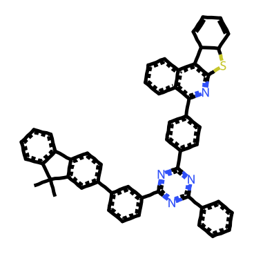 CC1(C)c2ccccc2-c2ccc(-c3cccc(-c4nc(-c5ccccc5)nc(-c5ccc(-c6nc7c(c8ccccc68)C6C=CC=CC6S7)cc5)n4)c3)cc21